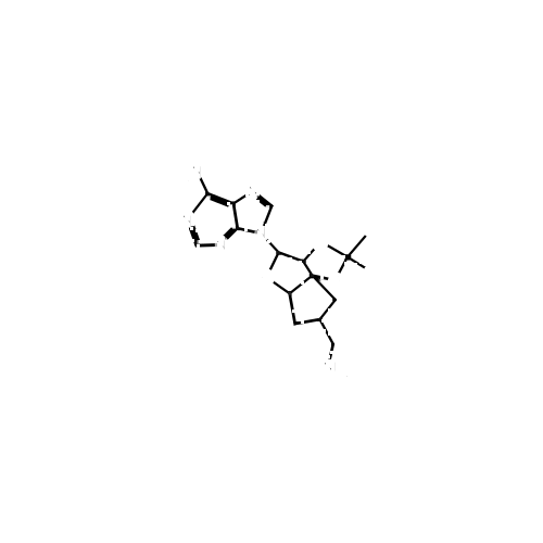 CC1(C)OC2C(n3cnc4c(N)ncnc43)OC3CC(CN)CC32O1